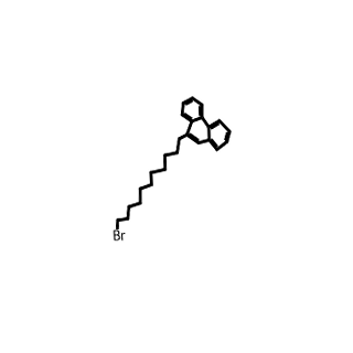 BrCCCCCCCCCCCc1cc2ccccc2c2ccccc12